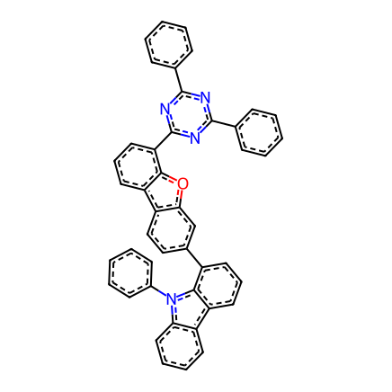 c1ccc(-c2nc(-c3ccccc3)nc(-c3cccc4c3oc3cc(-c5cccc6c7ccccc7n(-c7ccccc7)c56)ccc34)n2)cc1